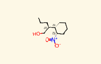 CCC[C@H](CO)[C@@H]1CCCC[C@@H]1[N+](=O)[O-]